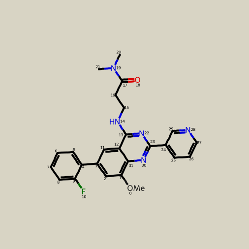 COc1cc(-c2ccccc2F)cc2c(NCCC(=O)N(C)C)nc(-c3cccnc3)nc12